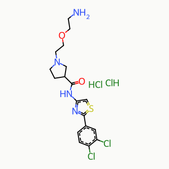 Cl.Cl.NCCOCCN1CCC(C(=O)Nc2csc(-c3ccc(Cl)c(Cl)c3)n2)C1